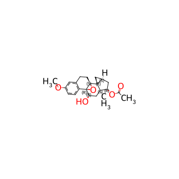 COc1ccc2c(c1)CC[C@@]13O[C@@]21[C@H](O)C[C@]1(C)[C@H](OC(C)=O)C[C@@H]2C[C@]231